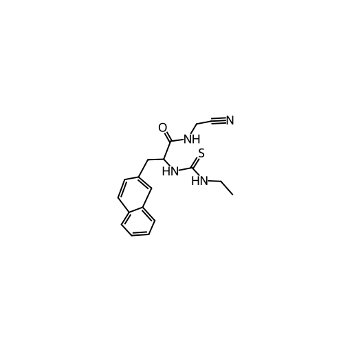 CCNC(=S)NC(Cc1ccc2ccccc2c1)C(=O)NCC#N